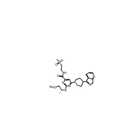 COC[C@@H](C)Oc1nc(C(=O)NCCS(C)(=O)=O)cc(N2CCC(C3=NCc4ncccc43)CC2)n1